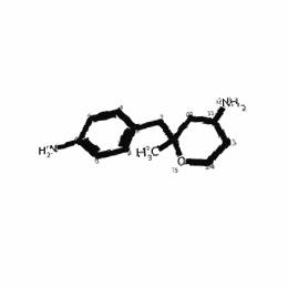 CC1(Cc2ccc(N)cc2)CC(N)CCO1